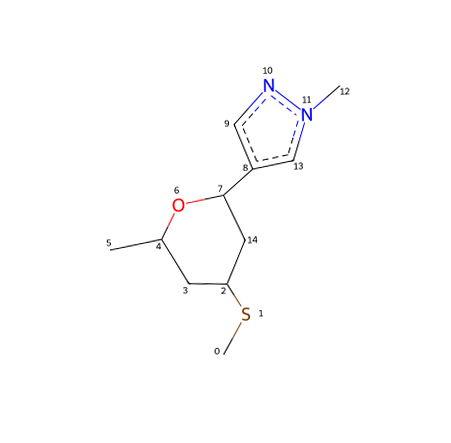 CSC1CC(C)OC(c2cnn(C)c2)C1